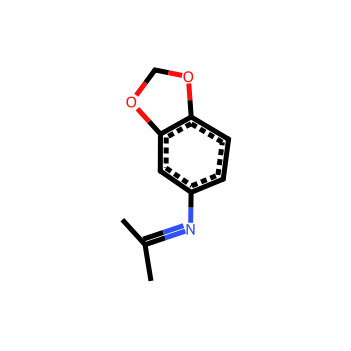 CC(C)=Nc1ccc2c(c1)OCO2